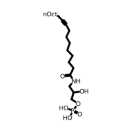 CCCCCCCCC#CCCCCCCCC(=O)NCC(O)COP(=O)(O)O